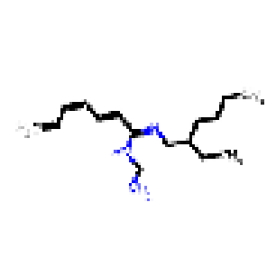 C=C\C=C/C=C/C(=N/C[C@H](CC)CCCC)NCN